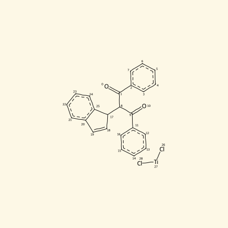 O=C(c1ccccc1)C(C(=O)c1ccccc1)C1C=Cc2ccccc21.[Cl][Ti][Cl]